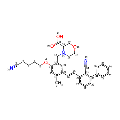 Cc1cc(OCCCCC#N)c(CN2CCOCC2C(=O)O)cc1C=Cc1cccc(-c2ccccc2)c1C#N